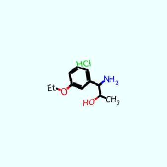 CCOc1cccc(C(N)C(C)O)c1.Cl